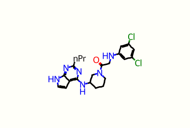 CCCc1nc(NC2CCCN(C(=O)CNc3cc(Cl)cc(Cl)c3)C2)c2cc[nH]c2n1